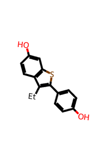 CCc1c(-c2ccc(O)cc2)sc2cc(O)ccc12